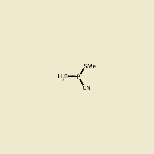 BP(C#N)SC